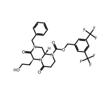 O=C1[C@H](CCO)N2C(=O)CCN(C(=O)OCc3cc(C(F)(F)F)cc(C(F)(F)F)c3)[C@H]2CN1Cc1ccccc1